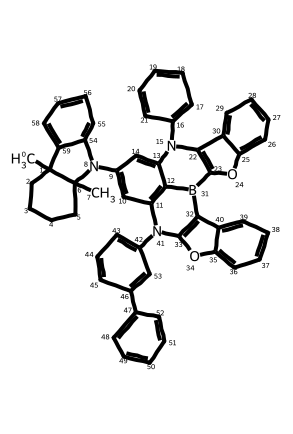 CC12CCCCC1(C)N(c1cc3c4c(c1)N(c1ccccc1)c1c(oc5ccccc15)B4c1c(oc4ccccc14)N3c1cccc(-c3ccccc3)c1)c1ccccc12